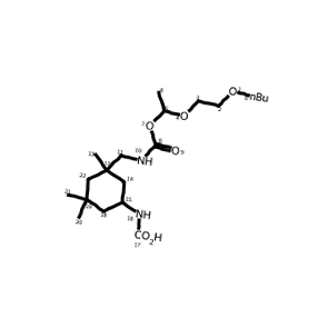 CCCCOCCOC(C)OC(=O)NCC1(C)CC(NC(=O)O)CC(C)(C)C1